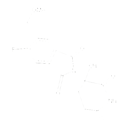 COCc1cc2c(cc1F)C(=O)N(C1(C)CCC(=O)NC1=O)C2=O